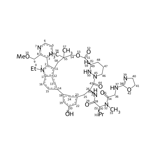 CCn1c(-c2cccnc2COC)c2c3cc(ccc31)-c1cc(O)cc(c1)C[C@H](NC(=O)[C@H](C(C)C)N(C)C(=O)CNC1=NCCO1)C(=O)N1CCC[C@H](N1)C(=O)OCC(C)(C)C2